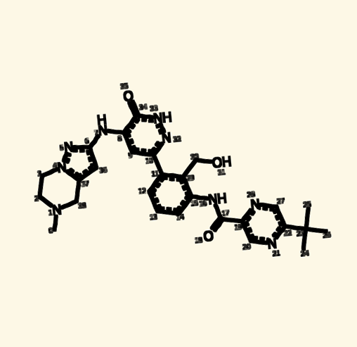 CN1CCn2nc(Nc3cc(-c4cccc(NC(=O)c5cnc(C(C)(C)C)cn5)c4CO)n[nH]c3=O)cc2C1